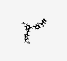 COc1cc(OCc2cccc(NC(=O)c3ccco3)c2)c2cc(-c3cn4nc(OC)sc4n3)oc2c1